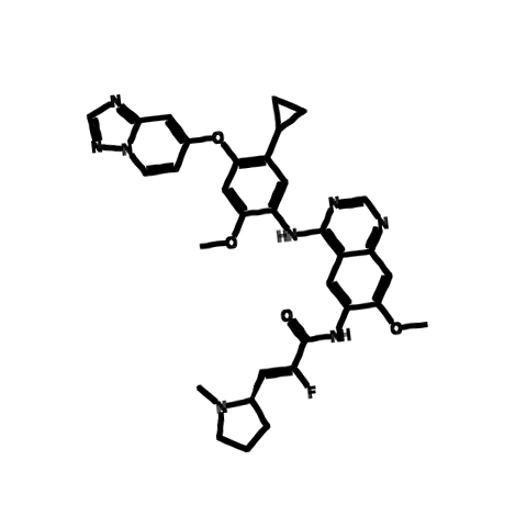 COc1cc2ncnc(Nc3cc(C4CC4)c(Oc4ccn5ncnc5c4)cc3OC)c2cc1NC(=O)/C(F)=C/[C@H]1CCCN1C